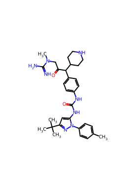 Cc1ccc(-n2nc(C(C)(C)C)cc2NC(=O)Nc2ccc(C(C(=O)CN(C)C(=N)N)C3CCNCC3)cc2)cc1